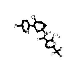 Cc1nc(C(F)(F)F)ccc1C(=O)Nc1ccc(Cl)c(-c2ccc(F)cn2)c1